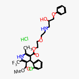 COC(=O)C1=C(C(F)(F)F)NC(C)=C(C(=O)OCCOCCNCC(O)COc2ccccc2)C1c1ccccc1Cl.Cl